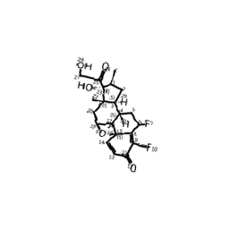 CC1C[C@H]2[C@@H]3CC(F)C4=C(F)C(=O)C=C[C@]4(C)[C@]34OC4C[C@]2(C)[C@@]1(O)C(=O)CO